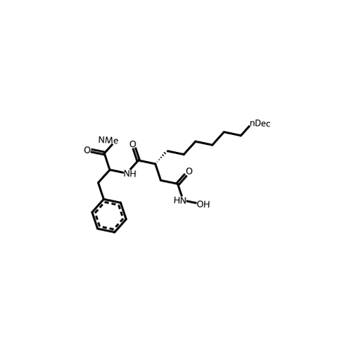 CCCCCCCCCCCCCCCC[C@H](CC(=O)NO)C(=O)NC(Cc1ccccc1)C(=O)NC